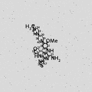 COc1cc(Nc2nc(NC3CCOCC3)c(-c3cscn3)nc2CN)ccc1N1CCC(N2CCN(C)CC2)CC1